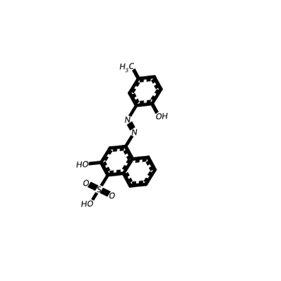 Cc1ccc(O)c(N=Nc2cc(O)c(S(=O)(=O)O)c3ccccc23)c1